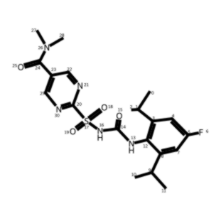 CC(C)c1cc(F)cc(C(C)C)c1NC(=O)NS(=O)(=O)c1ncc(C(=O)N(C)C)cn1